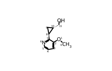 COc1cccnc1[C@H]1C[C@@H]1CO